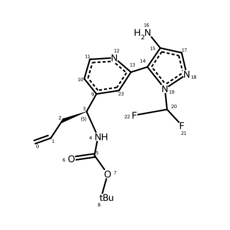 C=CC[C@H](NC(=O)OC(C)(C)C)c1ccnc(-c2c(N)cnn2C(F)F)c1